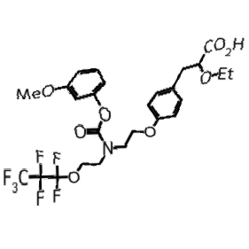 CCOC(Cc1ccc(OCCN(CCOC(F)(F)C(F)(F)C(F)(F)F)C(=O)Oc2cccc(OC)c2)cc1)C(=O)O